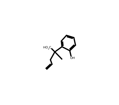 C=CCC(C)(C(=O)O)c1ccccc1O